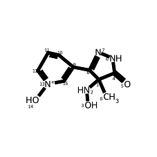 CC1(NO)C(=O)NN=C1c1ccc[n+](O)c1